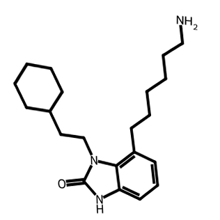 NCCCCCCc1cccc2[nH]c(=O)n(CCC3CCCCC3)c12